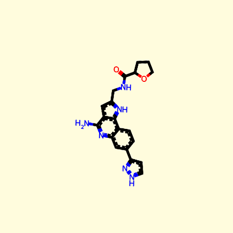 Nc1nc2cc(-c3cc[nH]n3)ccc2c2[nH]c(CNC(=O)C3CCCO3)cc12